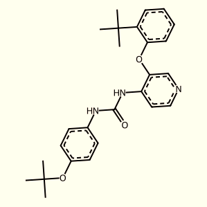 CC(C)(C)Oc1ccc(NC(=O)Nc2ccncc2Oc2ccccc2C(C)(C)C)cc1